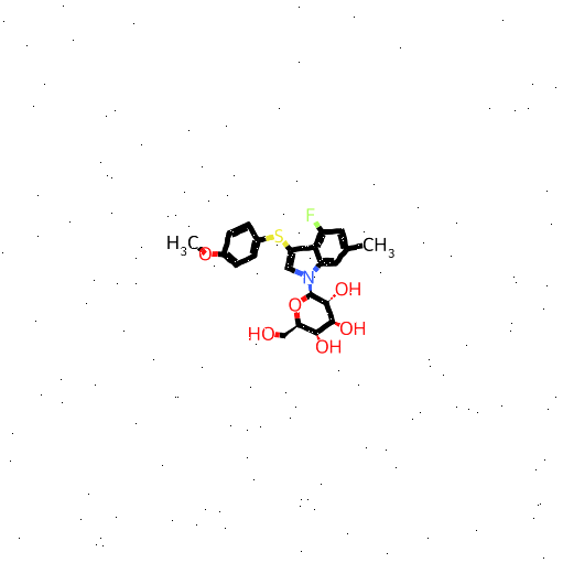 COc1ccc(Sc2cn([C@@H]3O[C@H](CO)[C@@H](O)[C@H](O)[C@H]3O)c3cc(C)cc(F)c23)cc1